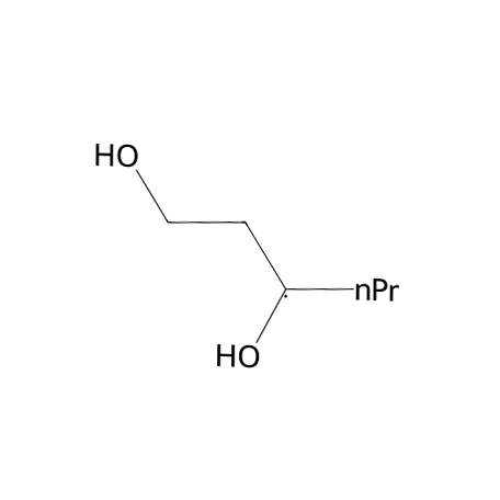 CCC[C](O)CCO